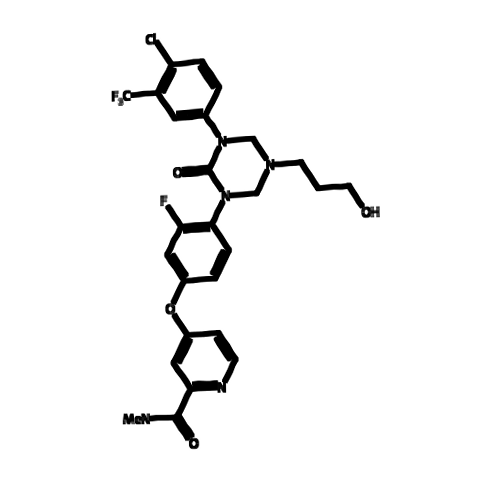 CNC(=O)c1cc(Oc2ccc(N3CN(CCCO)CN(c4ccc(Cl)c(C(F)(F)F)c4)C3=O)c(F)c2)ccn1